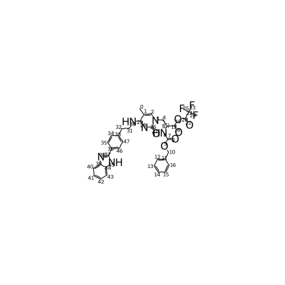 Cc1cn(C[C@H](NC(=O)OCc2ccccc2)C(=O)OC(=O)C(F)(F)F)c(=O)nc1NCCc1ccc(-c2nc3ccccc3[nH]2)cc1